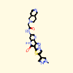 Cn1cc(-c2cn3nc4c5ncc(NC(=O)CN6CCc7cnccc7C6)cc5[nH]c(=O)c4c3s2)cn1